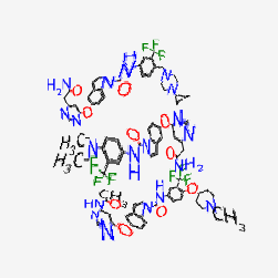 CC(=O)Nc1cc(Oc2ccc3c(ccn3C(=O)Nc3ccc(OC4CCN(C)CC4)c(C(F)(F)F)c3)c2)ncn1.CCN(CC)c1ccc(NC(=O)n2ccc3cc(Oc4cc(CC(N)=O)ncn4)ccc32)cc1C(F)(F)F.NC(=O)Cc1cc(Oc2ccc3c(ccn3C(=O)Nc3ccc(CN4CCN(C5CC5)CC4)c(C(F)(F)F)c3)c2)ncn1